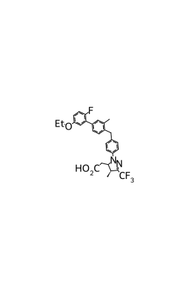 CCOc1ccc(F)c(-c2ccc(Cc3ccc(N4N=C(C(F)(F)F)[C@@H](C)C4CC(=O)O)cc3)c(C)c2)c1